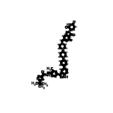 Cc1cc(-c2n[nH]c3ccc(-c4ccc(N5CCC(N6CCN(Cc7cc(F)c8c(c7)CN(C7CCC(=O)NC7=O)C8=O)CC6)CC5)cc4)cc23)ccc1CNC(=O)c1nc(C(C)(C)C)no1